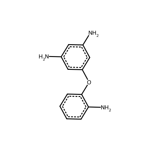 Nc1cc(N)cc(Oc2ccccc2N)c1